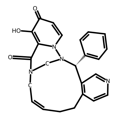 O=C1c2c(O)c(=O)ccn2N2CN1C/C=C\CCc1ccncc1[C@H]2c1ccccc1